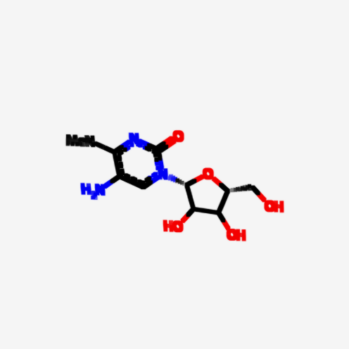 CNc1nc(=O)n([C@@H]2O[C@H](CO)C(O)C2O)cc1N